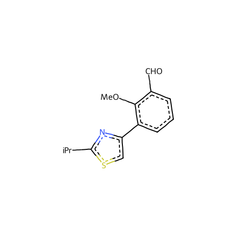 COc1c(C=O)cccc1-c1csc(C(C)C)n1